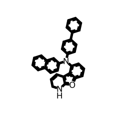 C1=Cc2c(oc3cccc(N(c4ccc(-c5ccccc5)cc4)c4ccc5ccccc5c4)c23)NC1